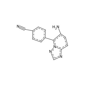 N#Cc1ccc(-c2c(N)ccc3ncnn23)cc1